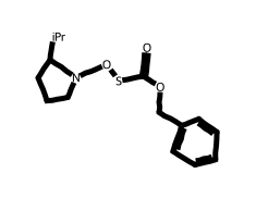 CC(C)C1CCCN1OSC(=O)OCc1ccccc1